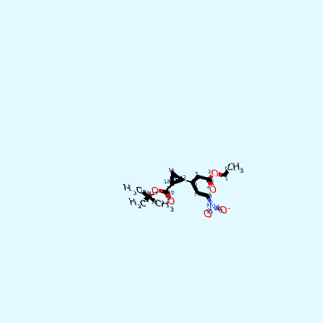 CCOC(=O)CC(CC[N+](=O)[O-])[C@@H]1C[C@@H]1C(=O)OC(C)(C)C